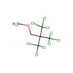 [SiH3]OCC(C(Cl)(Cl)Cl)(C(Cl)(Cl)Cl)C(Cl)(Cl)Cl